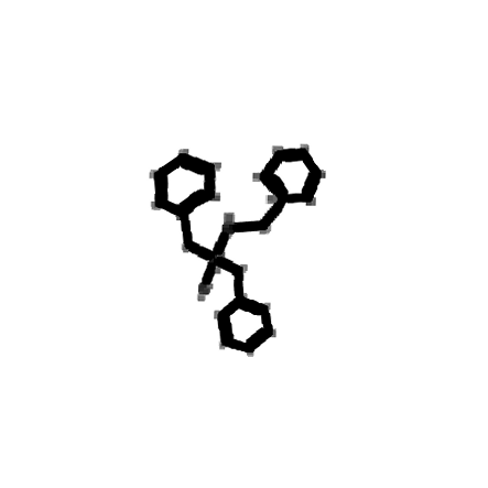 [O-][N+](Cc1ccccc1)(Cc1ccccc1)OCc1ccccc1